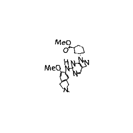 COC(=O)[C@H]1CCC[C@H](n2ncc3cnc(Nc4cc5c(cc4OC)CCN(C)C5)nc32)C1